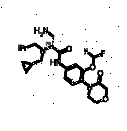 CC(C)CN(CC1CC1)[C@H](CN)C(=O)Nc1ccc(N2CCOCC2=O)c(OC(F)F)c1